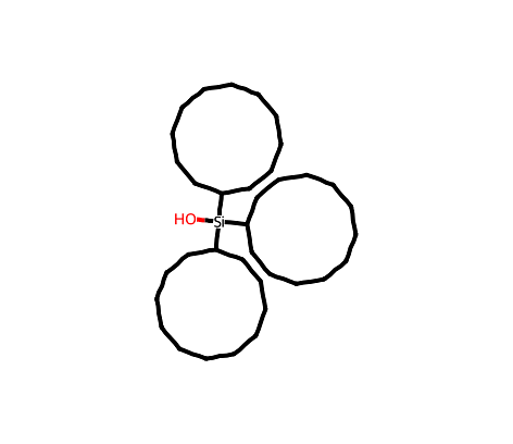 O[Si](C1CCCCCCCCCCC1)(C1CCCCCCCCCCC1)C1CCCCCCCCCCC1